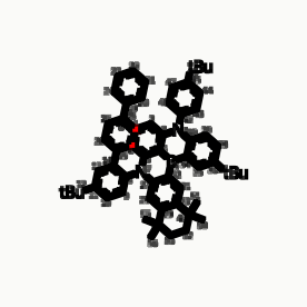 Cc1cc2c3c(c1)N(c1ccc(C(C)(C)C)cc1-c1ccc(-c4ccccc4)cc1)c1cc4c(cc1B3c1cc(C(C)(C)C)ccc1N2c1ccc(C(C)(C)C)cc1)C(C)(C)CCC4(C)C